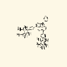 [2H]c1c([2H])c([2H])c(-c2ccc(-c3ccc4c5c3ccc3c(-c6ccc(-c7c([2H])c([2H])c([2H])c([2H])c7[2H])cc6)ccc(c35)n4-c3ccccc3)cc2)c([2H])c1[2H]